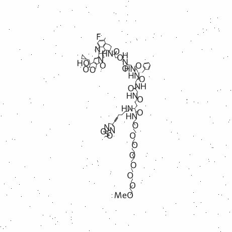 COCCOCCOCCOCCOCCOCCOCCOCCNC(=O)[C@H](CCC(=O)NCC(=O)NCC(=O)N[C@@H](Cc1ccccc1)C(=O)NCC(=O)NCOCC(=O)N[C@H]1CCc2c(C)c(F)cc3nc4c(c1c23)Cn1c-4cc2c(c1=O)COC(=O)[C@]2(O)CC1CC1)NCCCCC#Cc1cnc(S(C)(=O)=O)nc1